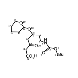 CC(C)(C)OC(=O)NCC[C@H](CC(=O)CC(=O)O)OC1CCCCO1